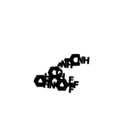 FC(F)(F)c1ccc2c(c1)[C@H]1O[C@@H](CNCC3CCNCC3)CC[C@H]1[C@H](c1ccccc1)N2